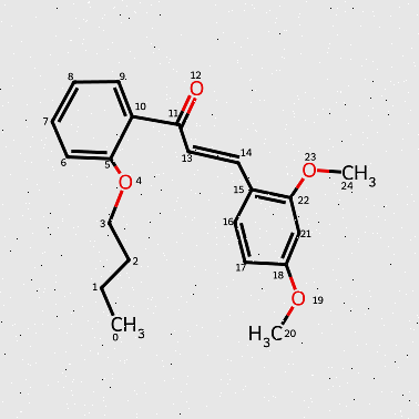 CCCCOc1ccccc1C(=O)C=Cc1ccc(OC)cc1OC